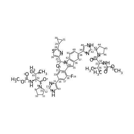 COC(=O)N[C@H](C(=O)N1CCC[C@H]1c1nc(-c2cc(F)c3c(c2)OC(c2csc(C4CC4)n2)n2c-3cc3cc(-c4c[nH]c([C@@H]5CCCN5C(=O)[C@@H](NC(=O)OC)C(C)C)n4)ccc32)c[nH]1)C(C)C